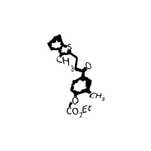 CCOC(=O)COc1ccc(C(=O)CCc2sc3ccccc3c2C)cc1C